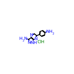 Cl.Nc1ccc(-c2cnc3c(N)n[nH]c3n2)cc1